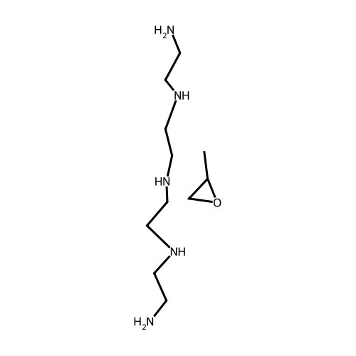 CC1CO1.NCCNCCNCCNCCN